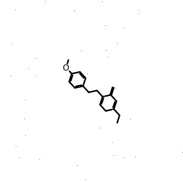 C=C1C=C(CC)CC=C1CCc1ccc(OC)cc1